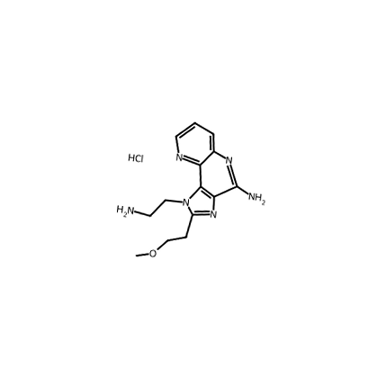 COCCc1nc2c(N)nc3cccnc3c2n1CCN.Cl